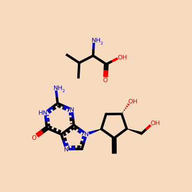 C=C1[C@H](CO)[C@@H](O)C[C@@H]1n1cnc2c(=O)[nH]c(N)nc21.CC(C)C(N)C(=O)O